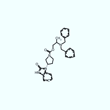 CC(COC(=O)N1CC[C@H](n2c(=O)[nH]c3ccccc32)C1)N(Cc1ccccc1)Cc1ccccc1